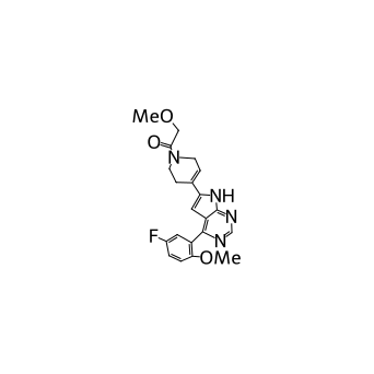 COCC(=O)N1CC=C(c2cc3c(-c4cc(F)ccc4OC)ncnc3[nH]2)CC1